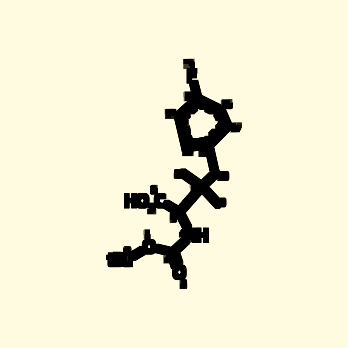 CC(C)(C)OC(=O)NC(C(=O)O)C(C)(C)Cc1ccc(F)cc1